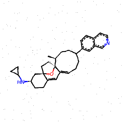 C[C@H]1CCC(c2ccc3ccncc3c2)CC/C=C2/C=C3CC[C@@H](NC4CC4)C[C@]34CC[C@@]21O4